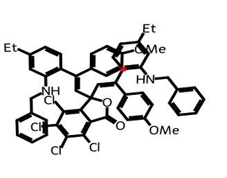 CCc1ccc(C(=CC2(C=C(c3ccc(OC)cc3)c3ccc(CC)cc3NCc3ccccc3)OC(=O)c3c(Cl)c(Cl)c(Cl)c(Cl)c32)c2ccc(OC)cc2)c(NCc2ccccc2)c1